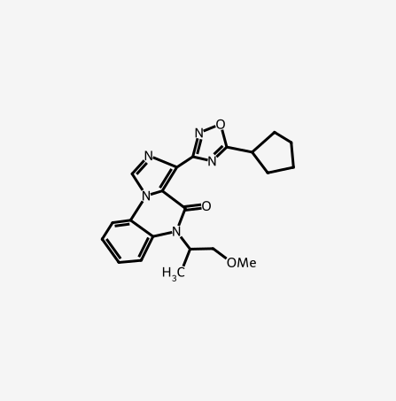 COCC(C)n1c(=O)c2c(-c3noc(C4CCCC4)n3)ncn2c2ccccc21